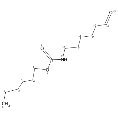 CCCCCCOC(=O)NCCCCC[C]=O